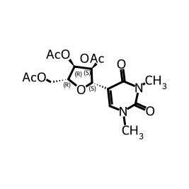 CC(=O)OC[C@H]1O[C@@H](c2cn(C)c(=O)n(C)c2=O)[C@H](OC(C)=O)[C@@H]1OC(C)=O